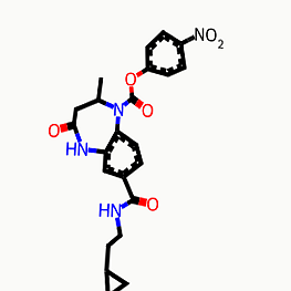 CC1CC(=O)Nc2cc(C(=O)NCCC3CC3)ccc2N1C(=O)Oc1ccc([N+](=O)[O-])cc1